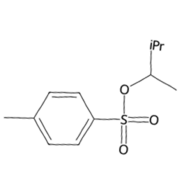 Cc1ccc(S(=O)(=O)OC(C)C(C)C)cc1